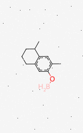 BOc1cc2c(cc1C)C(C)CCC2